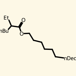 CCCCCCCCCCCCCCCCOC(=O)C(CC)CCCC